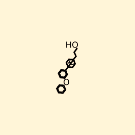 OCCCC12CCC(c3cccc(Oc4ccccc4)c3)(CC1)CO2